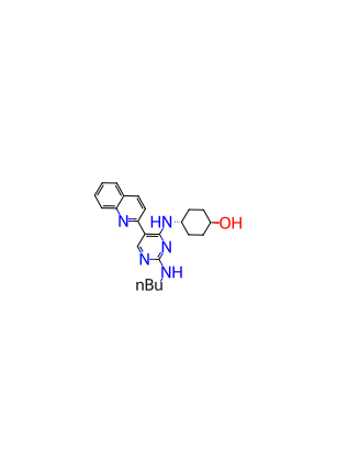 CCCCNc1ncc(-c2ccc3ccccc3n2)c(N[C@H]2CC[C@H](O)CC2)n1